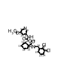 COc1cncc(NS(=O)(=O)c2ccccc2C(=O)NCc2cccc(Cl)c2Cl)c1